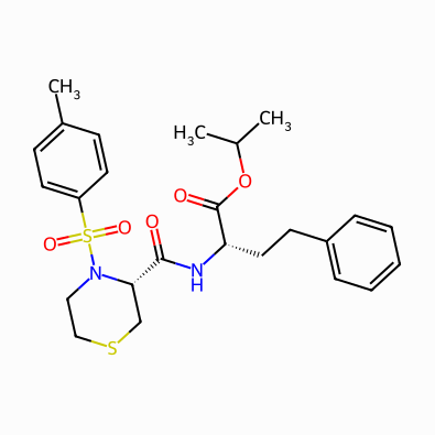 Cc1ccc(S(=O)(=O)N2CCSC[C@H]2C(=O)N[C@@H](CCc2ccccc2)C(=O)OC(C)C)cc1